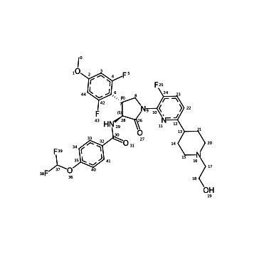 COc1cc(F)c([C@@H]2CN(c3nc(C4CCN(CCO)CC4)ccc3F)C(=O)[C@H]2NC(=O)c2ccc(OC(F)F)cc2)c(F)c1